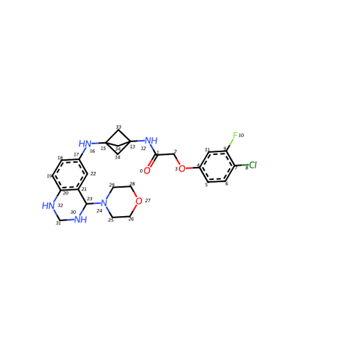 O=C(COc1ccc(Cl)c(F)c1)NC12CC(Nc3ccc4c(c3)C(N3CCOCC3)NCN4)(C1)C2